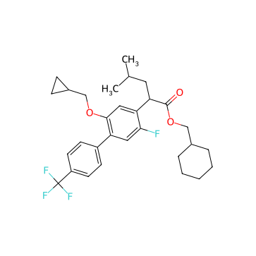 CC(C)CC(C(=O)OCC1CCCCC1)c1cc(OCC2CC2)c(-c2ccc(C(F)(F)F)cc2)cc1F